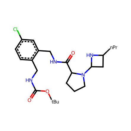 CCCC1CC(N2CCCC2C(=O)NCc2cc(Cl)ccc2CNC(=O)OC(C)(C)C)N1